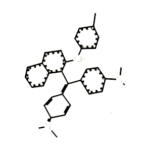 Cc1ccc(Nc2ccc3ccccc3c2C(=C2C=CC(=[N+](C)C)C=C2)c2ccc(N(C)C)cc2)cc1.[Cl-]